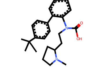 CN1CCCC1CCN(C(=O)O)c1ccccc1-c1ccc(C(C)(C)C)cc1